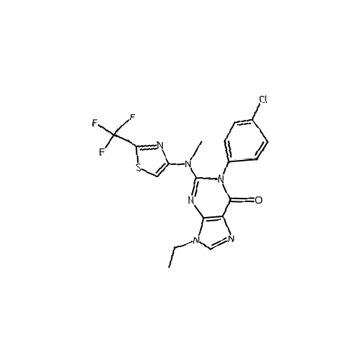 CCn1cnc2c(=O)n(-c3ccc(Cl)cc3)c(N(C)c3csc(C(F)(F)F)n3)nc21